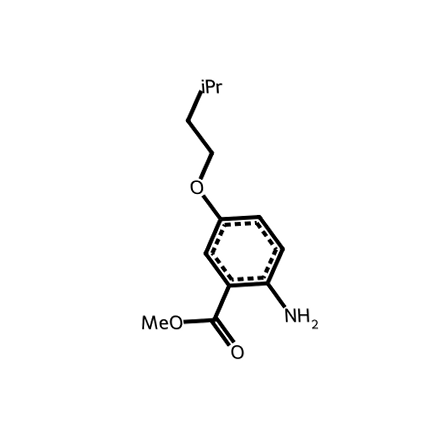 COC(=O)c1cc(OCCC(C)C)ccc1N